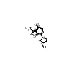 Nc1noc2c(N3CC[C@@H](N)C3)ncc(Cl)c12